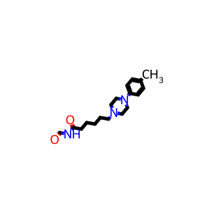 Cc1ccc(N2CCN(CCCCCC(=O)NC=O)CC2)cc1